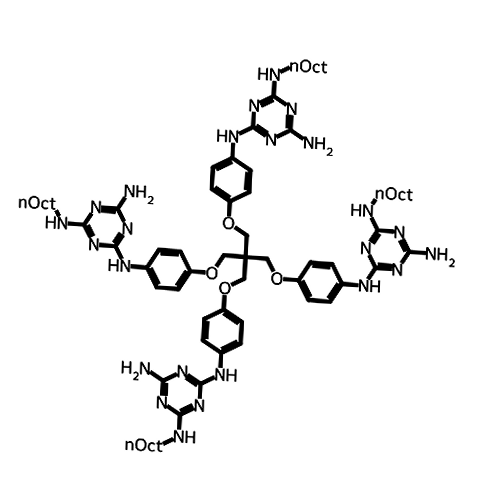 CCCCCCCCNc1nc(N)nc(Nc2ccc(OCC(COc3ccc(Nc4nc(N)nc(NCCCCCCCC)n4)cc3)(COc3ccc(Nc4nc(N)nc(NCCCCCCCC)n4)cc3)COc3ccc(Nc4nc(N)nc(NCCCCCCCC)n4)cc3)cc2)n1